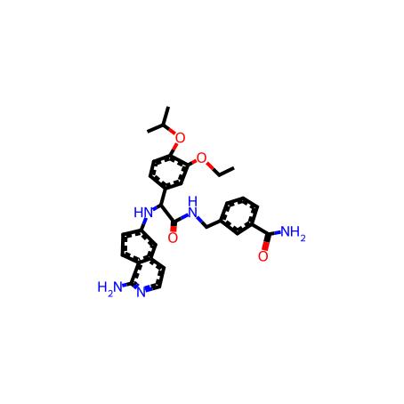 CCOc1cc(C(Nc2ccc3c(N)nccc3c2)C(=O)NCc2cccc(C(N)=O)c2)ccc1OC(C)C